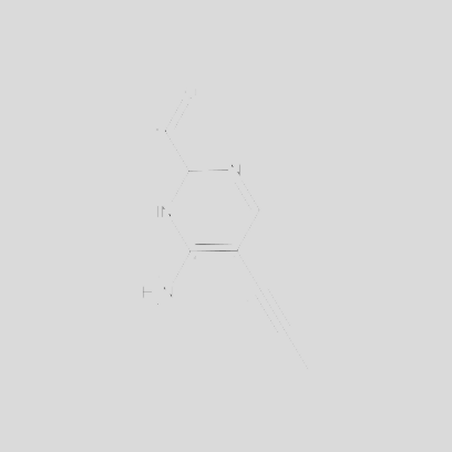 CC#CC1=C(N)NC(C=O)N=C1